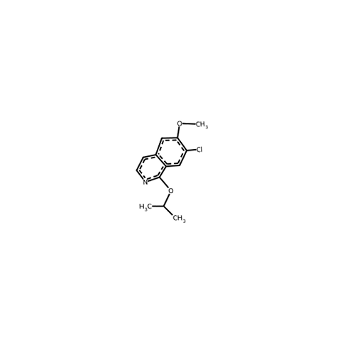 COc1cc2ccnc(OC(C)C)c2cc1Cl